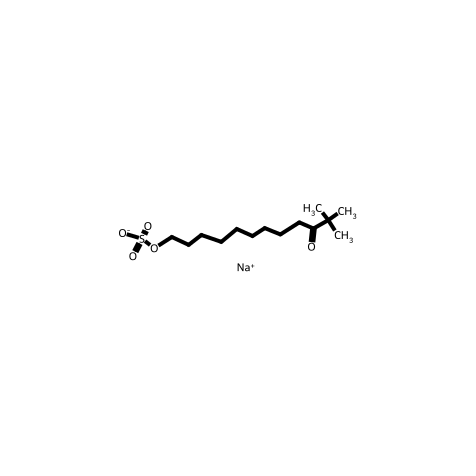 CC(C)(C)C(=O)CCCCCCCCCOS(=O)(=O)[O-].[Na+]